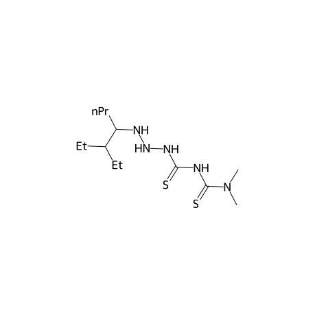 CCCC(NNNC(=S)NC(=S)N(C)C)C(CC)CC